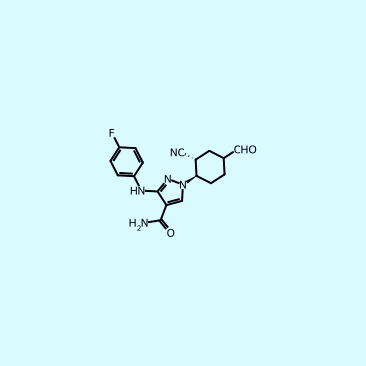 N#C[C@@H]1CC(C=O)CC[C@H]1n1cc(C(N)=O)c(Nc2ccc(F)cc2)n1